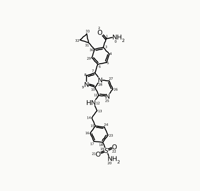 NC(=O)c1ccc(-c2cnc3c(NCCc4ccc(S(N)(=O)=O)cc4)nccn23)cc1C1CC1